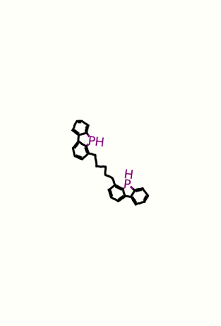 c1ccc2c(c1)[pH]c1c(CCCCCc3cccc4c3[pH]c3ccccc34)cccc12